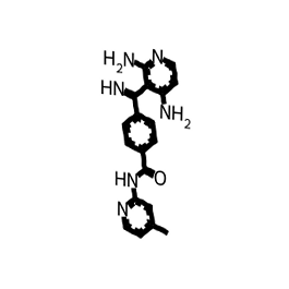 Cc1ccnc(NC(=O)c2ccc(C(=N)c3c(N)ccnc3N)cc2)c1